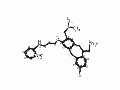 CN(C)Cc1cc2c(cc1OCCCNc1cccc[n+]1[O-])Cc1cc(F)ccc1C(CC(=O)O)C2